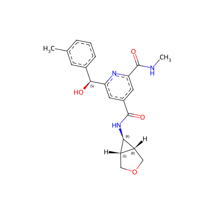 CNC(=O)c1cc(C(=O)N[C@H]2[C@@H]3COC[C@@H]32)cc([C@@H](O)c2cccc(C)c2)n1